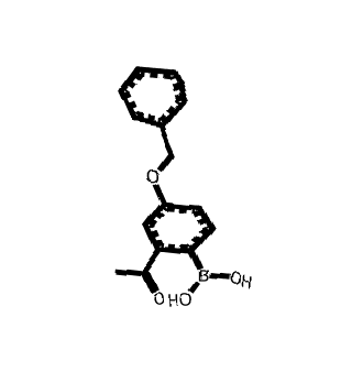 CC(=O)c1cc(OCc2ccccc2)ccc1B(O)O